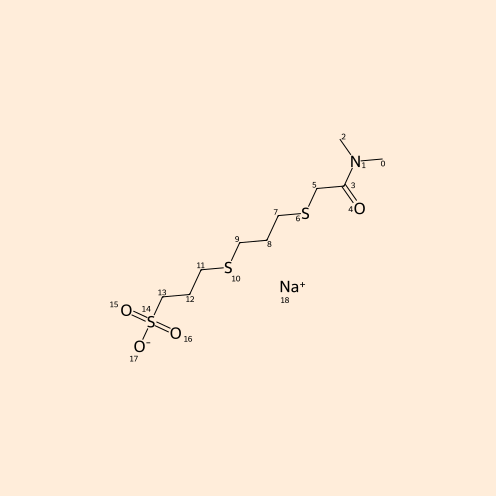 CN(C)C(=O)CSCCCSCCCS(=O)(=O)[O-].[Na+]